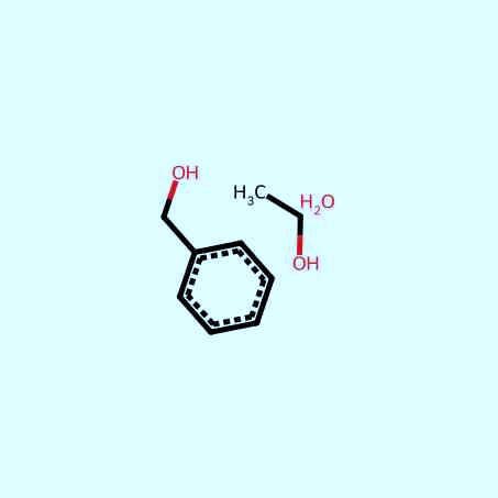 CCO.O.OCc1ccccc1